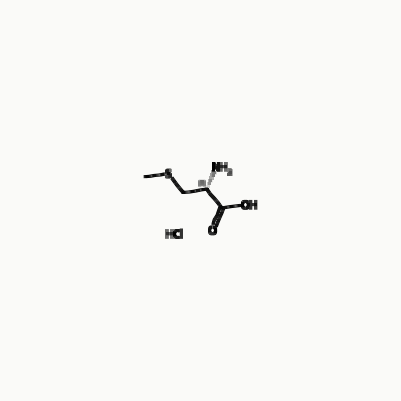 CSC[C@H](N)C(=O)O.Cl